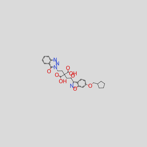 O=C(CC(CCn1nnc2ccccc2c1=O)(C(=O)O)C(=O)O)c1noc2cc(OCC3CCCC3)ccc12